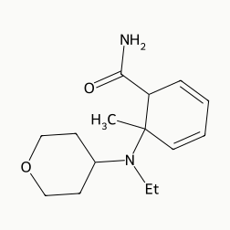 CCN(C1CCOCC1)C1(C)C=CC=CC1C(N)=O